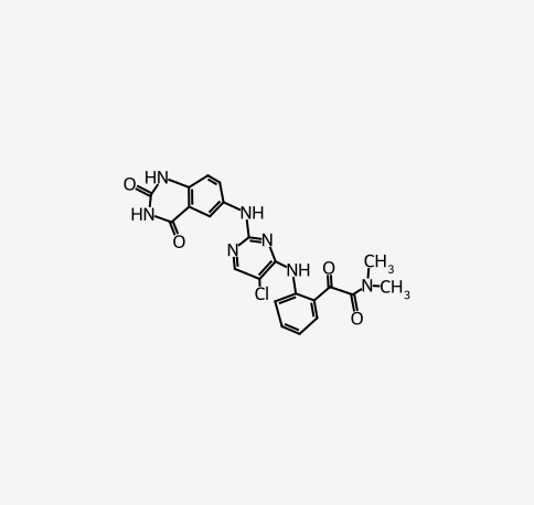 CN(C)C(=O)C(=O)c1ccccc1Nc1nc(Nc2ccc3[nH]c(=O)[nH]c(=O)c3c2)ncc1Cl